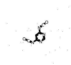 O=C=Nc1cc(N=C=O)ncn1